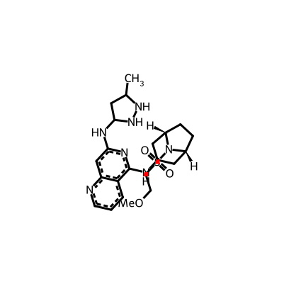 COCCS(=O)(=O)N1[C@@H]2CC[C@H]1CC(Nc1nc(NC3CC(C)NN3)cc3ncccc13)C2